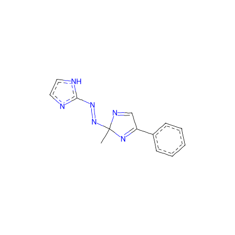 CC1(N=Nc2ncc[nH]2)N=CC(c2ccccc2)=N1